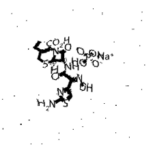 C=CC1=C(C(=O)O)N2C(=O)[C@@H](NC(=O)C(=NO)c3csc(N)n3)[C@H]2SC1.O=P([O-])(O)O.[Na+]